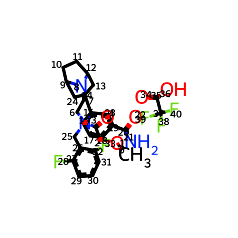 COCC(=O)N(CCN1C2CCC1CC(c1cccc(C(N)=O)c1)C2)Cc1c(F)cccc1F.O=C(O)C(F)(F)F